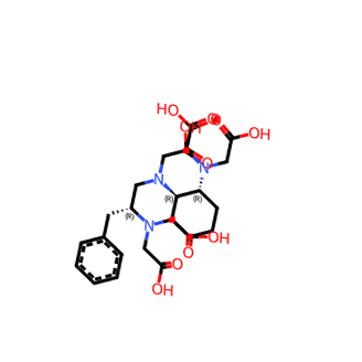 O=C(O)CN(CC(=O)O)[C@H](Cc1ccccc1)CN(CC(=O)O)[C@@H]1CCCC[C@H]1N(CC(=O)O)CC(=O)O